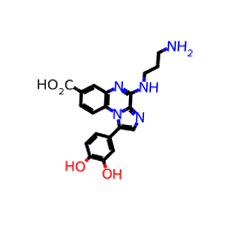 NCCCNc1nc2cc(C(=O)O)ccc2n2c(-c3ccc(O)c(O)c3)cnc12